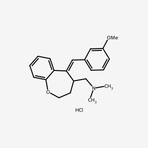 COc1cccc(C=C2c3ccccc3OCCC2CN(C)C)c1.Cl